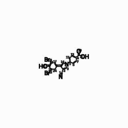 N#Cc1cn(-c2ccc(C(=O)O)cc2)cc1-c1cc(Br)c(O)c(Br)c1